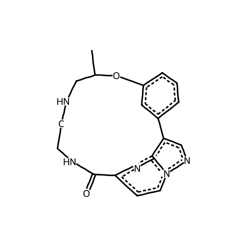 CC1CNCCNC(=O)c2ccn3ncc(c3n2)-c2cccc(c2)O1